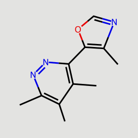 Cc1ncoc1-c1nnc(C)c(C)c1C